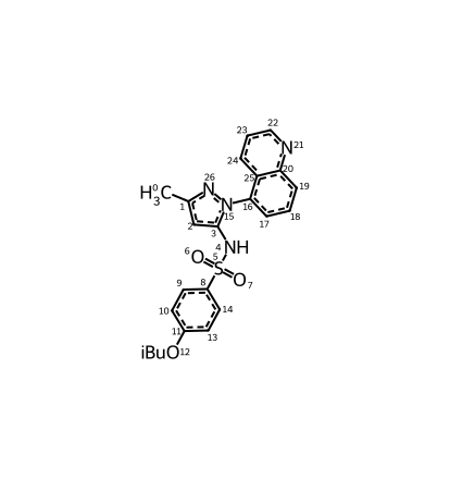 Cc1cc(NS(=O)(=O)c2ccc(OCC(C)C)cc2)n(-c2cccc3ncccc23)n1